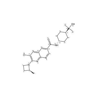 C[C@H]1CCN1c1nc2ncc(C(=O)N[C@H]3CC[C@H](C(C)(C)O)CC3)cc2cc1Cl